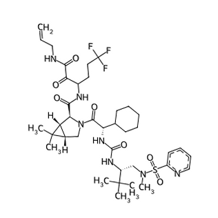 C=CCNC(=O)C(=O)C(CCC(F)(F)F)NC(=O)[C@@H]1[C@@H]2[C@H](CN1C(=O)[C@@H](NC(=O)N[C@H](CN(C)S(=O)(=O)c1ccccn1)C(C)(C)C)C1CCCCC1)C2(C)C